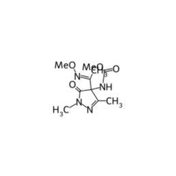 CON=C(C)C1(NC(=O)OC)C(=O)N(C)N=C1C